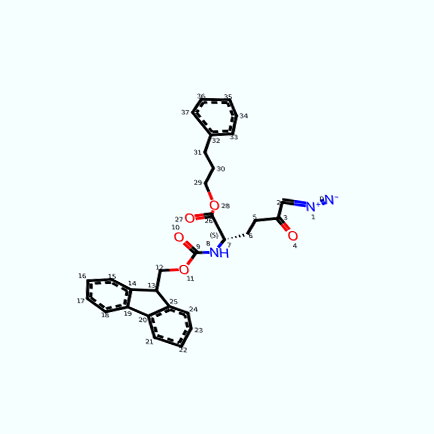 [N-]=[N+]=CC(=O)CC[C@H](NC(=O)OCC1c2ccccc2-c2ccccc21)C(=O)OCCCc1ccccc1